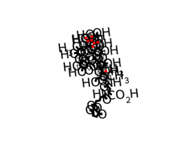 CC1C(O)[C@H](O[C@@H]2OC(CO)[C@H](O)C(O)[C@@H]2O)[C@H](CO)O[C@H]1O[C@@H]1C(O)[C@H](O)C(CO)O[C@@H]1OCC1O[C@@H](O[C@@H]2C(CO)O[C@@H](O[C@@H]3C(CO)O[C@@H](NC(=O)CC(NC(=O)CCCC(=O)ON4C(=O)CCC4=O)C(=O)O)[C@@H](C)C3O)[C@@H](C)C2O)[C@H](O)C(O[C@@H]2OC(O)[C@H](O)[C@@H](CO)O2)[C@@H]1O